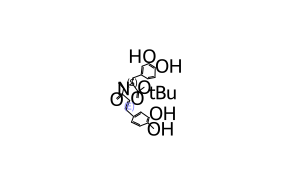 CN(C(=O)/C=C/c1ccc(O)c(O)c1)[C@@H](Cc1ccc(O)c(O)c1)C(=O)OC(C)(C)C